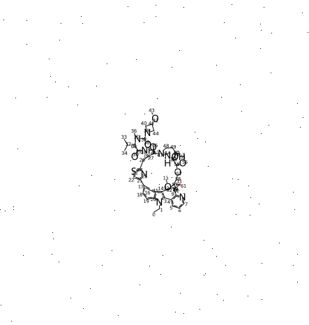 CCn1c(-c2cccnc2[C@H](C)OC)c2c3cc(ccc31)-c1csc(n1)C[C@H](NC(=O)[C@H](C(C)C)N(C)C(=O)N1CC(OC)C1)C(=O)N1CC[C@H](C)[C@@](O)(N1)C(=O)OCC(C)(C)C2